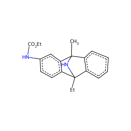 CCOC(=O)Nc1ccc2c(c1)C1(C)NC2(CC)c2ccccc21